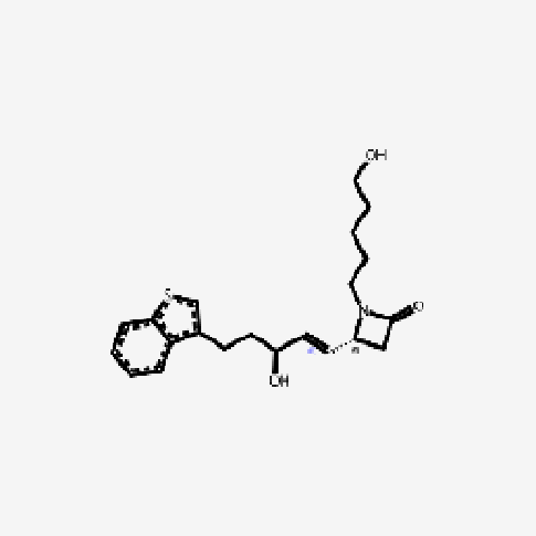 O=C1C[C@H](/C=C/C(O)CCc2csc3ccccc23)N1CCCCCO